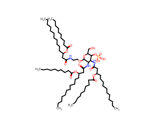 CCCCCCCCCCCC(CC(=O)NCCOC1OC(CO)C(OP(=O)(O)O)C(NC(=O)CC(CCCCCCCCCCC)OC(=O)CCCCCCCCC)C1NC(=O)CC(CCCCCCCCCCC)OC(=O)CCCCCCCCC)OC(=O)CCCCCCCCC